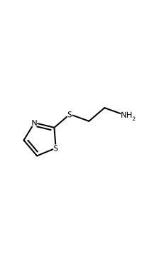 NCCSc1nccs1